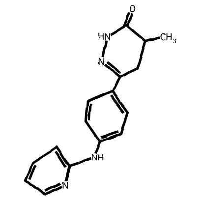 CC1CC(c2ccc(Nc3ccccn3)cc2)=NNC1=O